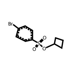 O=S(=O)(OC1CCC1)c1ccc(Br)cc1